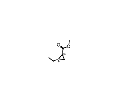 CC[C@@H]1C[C@@H]1C(=O)OC